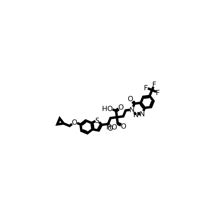 O=C(CC(CCn1nnc2ccc(C(F)(F)F)cc2c1=O)(C(=O)O)C(=O)O)c1cc2ccc(OCC3CC3)cc2s1